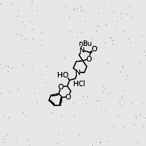 CCCCN1CC2(CCN(CC(O)C3COc4ccccc4O3)CC2)OC1=O.Cl